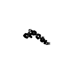 Cc1c(-c2cc(N3CCN(c4ccc(C(C)(C)O)cn4)CC3)ccc2Cl)nc2ccccn12